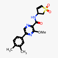 COc1nc(-c2ccc(C)c(C)c2)cnc1C(=O)NC1C=CS(=O)(=O)C1